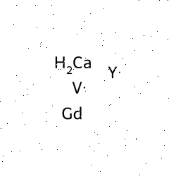 [CaH2].[Gd].[V].[Y]